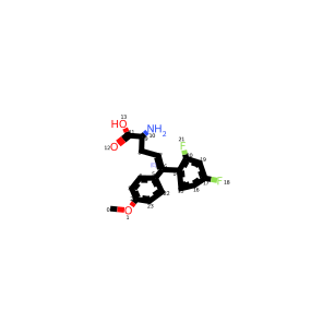 COc1ccc(/C(=C\CC(N)C(=O)O)c2ccc(F)cc2F)cc1